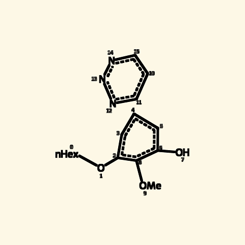 CCCCCCOc1cccc(O)c1OC.c1cnnnc1